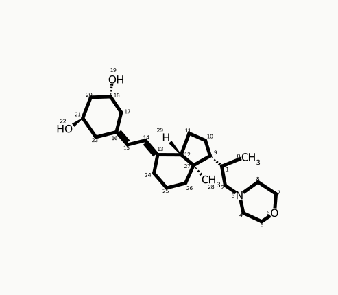 CC(CN1CCOCC1)[C@H]1CC[C@H]2/C(=C/C=C3C[C@@H](O)C[C@H](O)C3)CCC[C@]12C